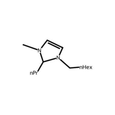 CCCCCCCN1C=CN(C)C1CCC